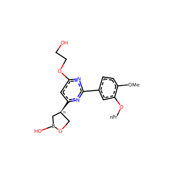 CCCOc1cc(-c2nc(OCCO)cc([C@H]3COB(O)C3)n2)ccc1OC